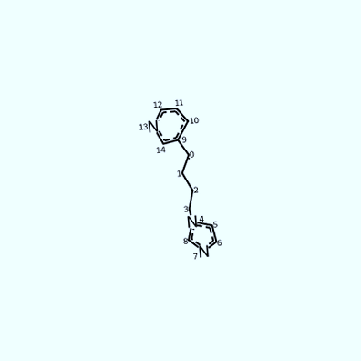 [CH](CCCn1ccnc1)c1cccnc1